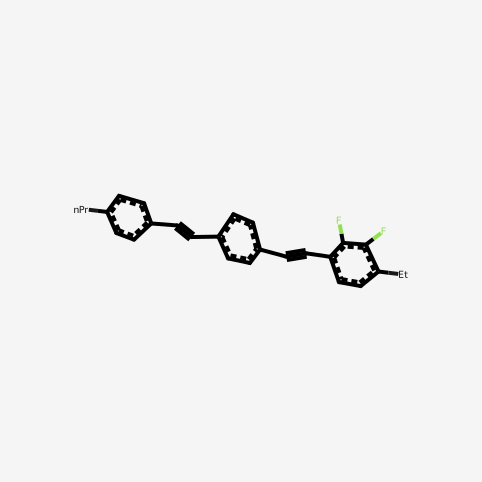 CCCc1ccc(C#Cc2ccc(C#Cc3ccc(CC)c(F)c3F)cc2)cc1